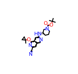 CC(C)(C)OC(=O)N1CCC[C@H](Nc2cc3c(OC4(C)CC4)nc(C#N)cc3cn2)C1